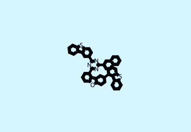 c1ccc2cc(-c3nc(-c4ccc5sc6ccccc6c5c4)nc(-c4cccc5oc6ccc(-c7cccc8sc9ccccc9c78)cc6c45)n3)ccc2c1